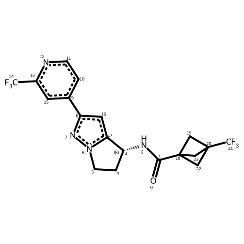 O=C(N[C@@H]1CCn2nc(-c3ccnc(C(F)(F)F)c3)cc21)C12CC(C(F)(F)F)(C1)C2